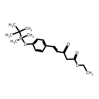 CCOC(=O)CC(=O)C=Cc1ccc(O[Si](C)(C)C(C)(C)C)cc1